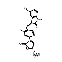 CC(=O)NC[C@H]1CN(c2ccc(/C=C3\C(=O)Nc4ccc(Cl)cc43)c(F)c2)C(=O)O1